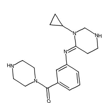 O=C(c1cccc(N=C2CCNCN2C2CC2)c1)N1CCNCC1